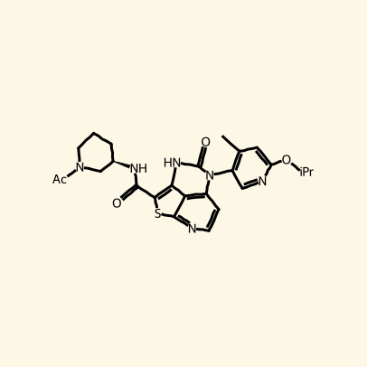 CC(=O)N1CCC[C@@H](NC(=O)c2sc3nccc4c3c2NC(=O)N4c2cnc(OC(C)C)cc2C)C1